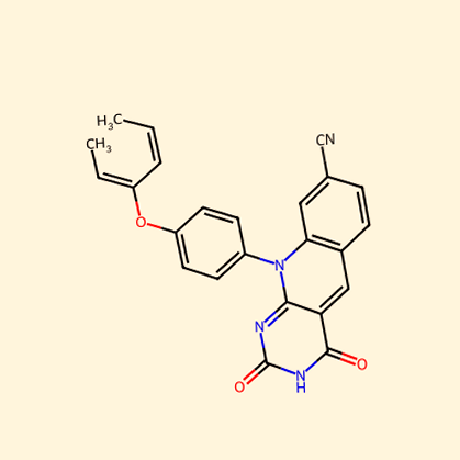 C/C=C\C(=C/C)Oc1ccc(-n2c3nc(=O)[nH]c(=O)c-3cc3ccc(C#N)cc32)cc1